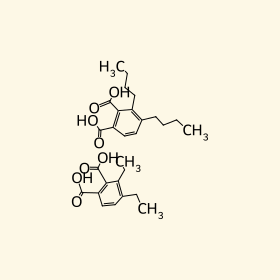 CCCCc1ccc(C(=O)O)c(C(=O)O)c1CCCC.CCc1ccc(C(=O)O)c(C(=O)O)c1CC